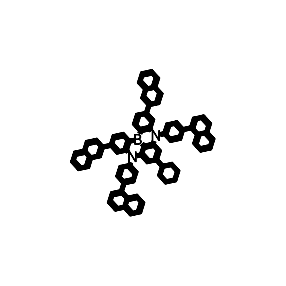 c1ccc2cc(-c3ccc4c(c3)N(c3ccc(-c5cccc6ccccc56)cc3)c3cc(C5CCCCC5)cc5c3B4c3ccc(-c4ccc6ccccc6c4)cc3N5c3ccc(-c4cccc5ccccc45)cc3)ccc2c1